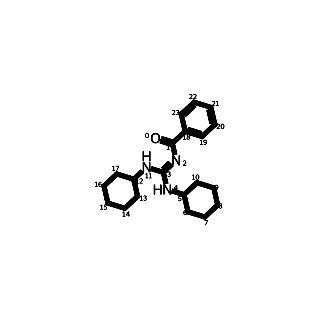 O=C(N=C(NC1CCCCC1)NC1CCCCC1)c1ccccc1